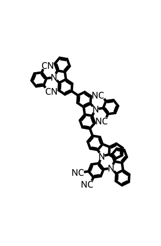 N#Cc1cc(-n2c3ccccc3c3ccccc32)c(-n2c3ccccc3c3cc(-c4ccc5c6cc(-c7ccc8c(c7)c7ccccc7n8-c7c(C#N)cccc7C#N)ccc6n(-c6c(C#N)cccc6C#N)c5c4)ccc32)cc1C#N